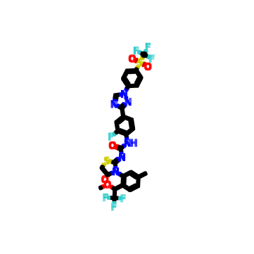 COC(c1ccc(C)cc1N1C(=O)CS/C1=N\C(=O)Nc1ccc(-c2ncn(-c3ccc(S(=O)(=O)C(F)(F)F)cc3)n2)cc1F)C(F)(F)F